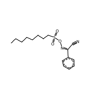 CCCCCCCCS(=O)(=O)ON=C(C#N)c1ccccc1